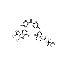 Cc1nc2c(F)cc(-c3cc(Nc4ncc(CN5C[C@@H]6CCCN(C(=O)OC(C)(C)C)[C@@H]6C5)cn4)ncc3F)cc2n1C(C)C